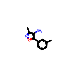 Cc1cccc(-c2onc(C)c2N)c1